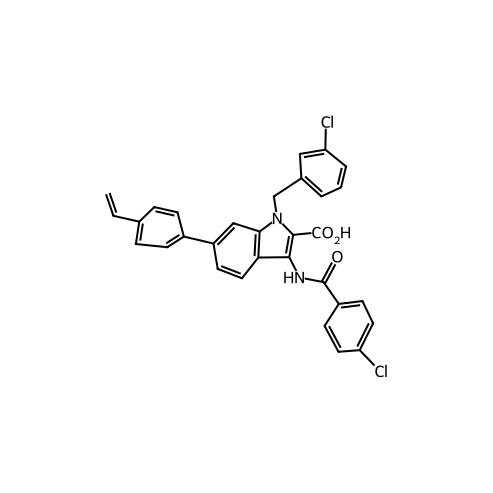 C=Cc1ccc(-c2ccc3c(NC(=O)c4ccc(Cl)cc4)c(C(=O)O)n(Cc4cccc(Cl)c4)c3c2)cc1